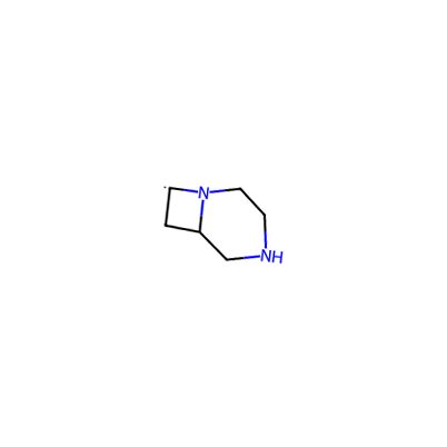 [CH]1CC2CNCCN12